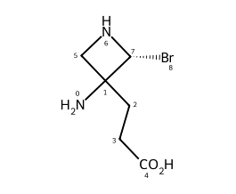 NC1(CCC(=O)O)CN[C@@H]1Br